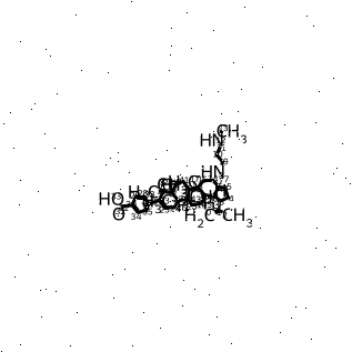 C=C(C)[C@@H]1CC[C@]2(CNCCCNC)CC[C@]3(C)[C@H](CC[C@@H]4[C@@]5(C)CC=C(c6ccc(C(=O)O)cc6)C(C)(C)[C@@H]5CC[C@]43C)[C@@H]12